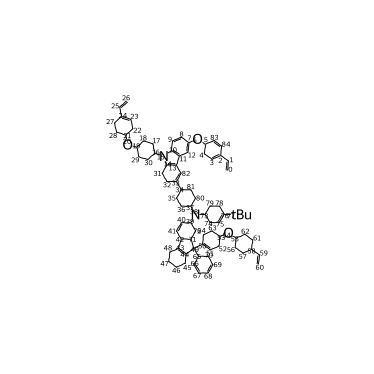 C=CC1=CCC(Oc2ccc3c(c2)c2c(n3C3CCC(OC4CC=C(C=C)CC4)CC3)CCC(C3CCC(N(C4C=CC5C6=C(CCCC6)C(C6=CCC(OC7CCC(C=C)CC7)CC6)(C6C=CC=CC6)C5C4)C4CC=C(C(C)(C)C)CC4)CC3)=C2)C=C1